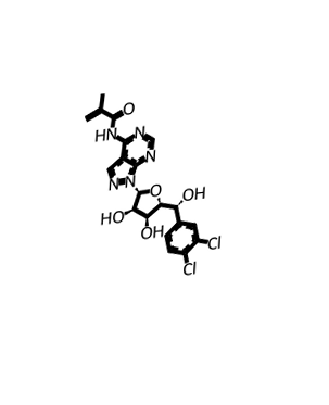 C=C(C)C(=O)Nc1ncnc2c1cnn2[C@@H]1O[C@H]([C@H](O)c2ccc(Cl)c(Cl)c2)[C@@H](O)[C@H]1O